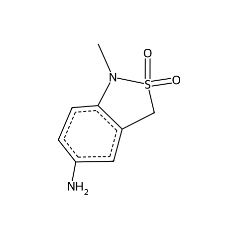 CN1c2ccc(N)cc2CS1(=O)=O